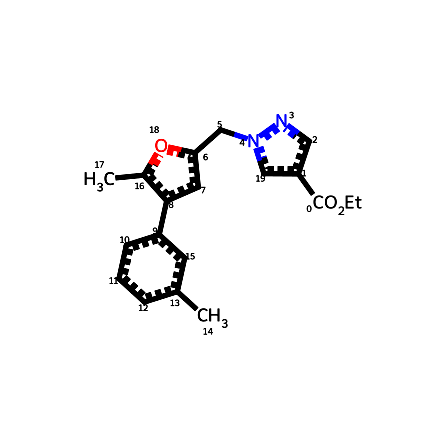 CCOC(=O)c1cnn(Cc2cc(-c3cccc(C)c3)c(C)o2)c1